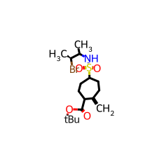 C=C1CCC(S(=O)(=O)NC(C)[C@H](C)Br)CCC1C(=O)OC(C)(C)C